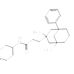 CC12CCCC(c3ccccc3)(C1)CC(C)(CCC(=O)NC1CCNCC1)C2